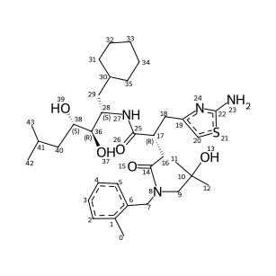 Cc1ccccc1CN(CC(C)(C)O)C(=O)C[C@@H](Cc1csc(N)n1)C(=O)N[C@@H](CC1CCCCC1)[C@@H](O)[C@@H](O)CC(C)C